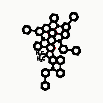 CC1(C)c2cc(N(c3cccc(-c4ccccc4)c3)c3ccccc3-c3ccccc3)ccc2-c2cc3c(N(c4cccc(-c5ccccc5)c4)c4ccccc4-c4ccccc4)c4cc(N(c5cccc(-c6ccccc6)c5)c5ccccc5-c5ccccc5)ccc4c(N(c4cccc(-c5ccccc5)c4)c4ccccc4-c4ccccc4)c3cc21